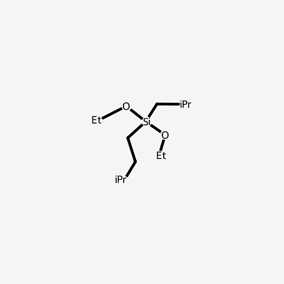 CCO[Si](CCC(C)C)(CC(C)C)OCC